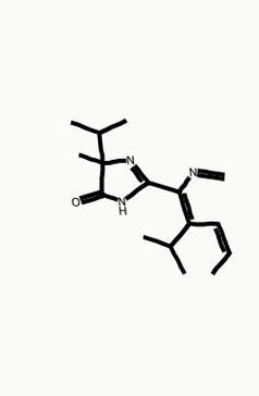 C=N/C(C1=NC(C)(C(C)C)C(=O)N1)=C(\C=C/C)C(C)C